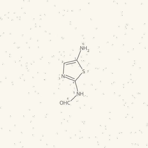 Nc1cnc(NC=O)s1